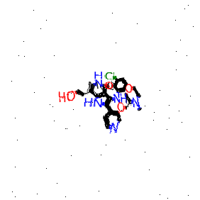 COc1c(Cl)cccc1Nc1c(-c2ccncc2OC[C@@H]2COCCN2C)[nH]c2c1C(=O)NC[C@H]2CCO